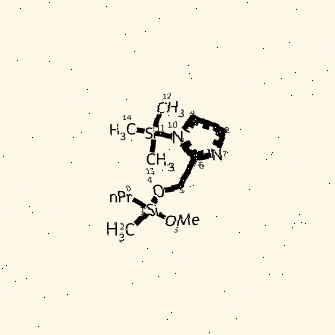 CCC[Si](C)(OC)OCc1nccn1[Si](C)(C)C